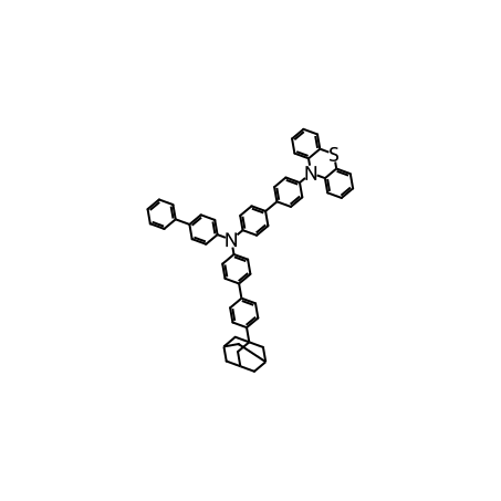 c1ccc(-c2ccc(N(c3ccc(-c4ccc(N5c6ccccc6Sc6ccccc65)cc4)cc3)c3ccc(-c4ccc(C56CC7CC(CC(C7)C5)C6)cc4)cc3)cc2)cc1